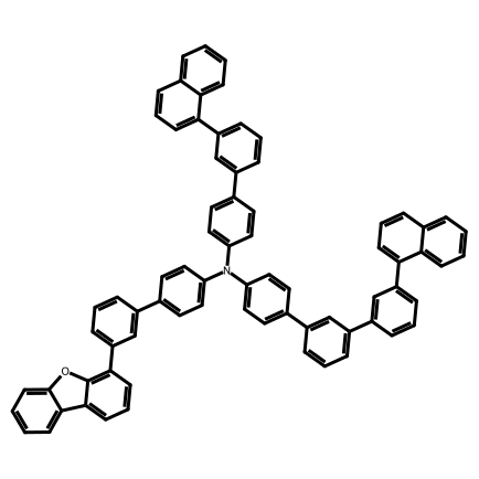 c1cc(-c2ccc(N(c3ccc(-c4cccc(-c5cccc6ccccc56)c4)cc3)c3ccc(-c4cccc(-c5cccc6c5oc5ccccc56)c4)cc3)cc2)cc(-c2cccc(-c3cccc4ccccc34)c2)c1